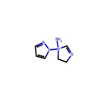 N[N+]1(n2cccn2)C=NCC1